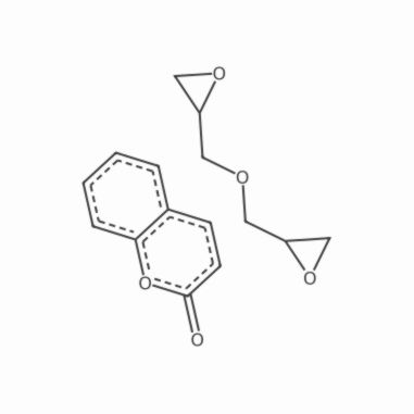 C(OCC1CO1)C1CO1.O=c1ccc2ccccc2o1